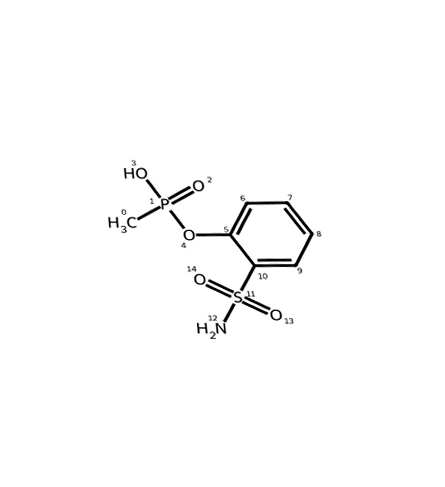 CP(=O)(O)Oc1ccccc1S(N)(=O)=O